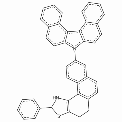 c1ccc(C2NC3=C(CCc4ccc5cc(-n6c7ccc8ccccc8c7c7c8ccccc8ccc76)ccc5c43)S2)cc1